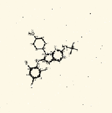 CC(C)(C)Nc1ncc2nc(Nc3c(F)cc(F)cc3F)n(C3CCC(O)CC3)c2n1